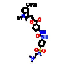 CCn1c(C)c(C=C2Oc3ccc(NC(=O)Nc4ccc(S(=O)(=O)N(C)CCN(C)C)cc4)cc3C2=O)c2cc(OC)ccc21